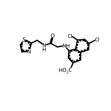 O=C(CNc1cc(C(=O)O)cc2cc(Cl)cc(Cl)c12)NCc1nccs1